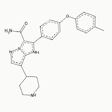 Cc1ccc(Oc2ccc(-c3[nH]c4c(C5CCNCC5)cnn4c3C(N)=O)cc2)cc1